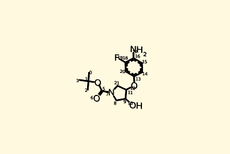 CC(C)(C)OC(=O)N1CC(O)C(Oc2ccc(N)c(F)c2)C1